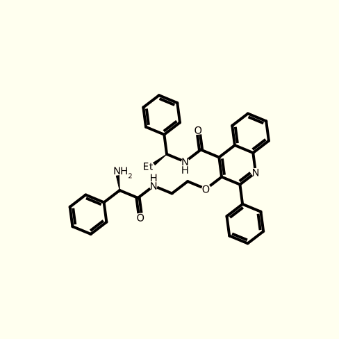 CC[C@H](NC(=O)c1c(OCCNC(=O)[C@H](N)c2ccccc2)c(-c2ccccc2)nc2ccccc12)c1ccccc1